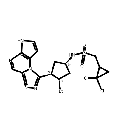 CC[C@@H]1C[C@H](NS(=O)(=O)CC2CC2(Cl)Cl)C[C@@H]1c1nnc2cnc3[nH]ccc3n12